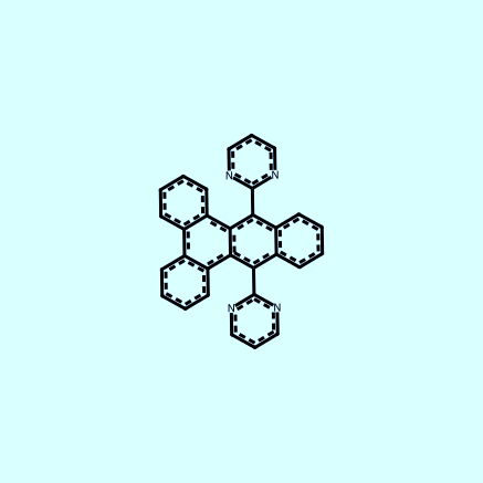 c1cnc(-c2c3ccccc3c(-c3ncccn3)c3c4ccccc4c4ccccc4c23)nc1